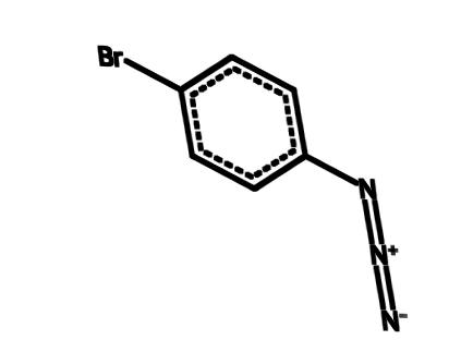 [N-]=[N+]=Nc1ccc(Br)cc1